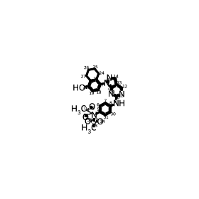 CS(=O)(=O)N(c1ccc(Nc2ncc3cnn(-c4ccc(O)c5c4CCCC5)c3n2)cc1)S(C)(=O)=O